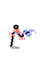 CCCCCCCCCCCCCCCCCOC(=O)[C@H](C)NP(=O)(OC[C@@]1(C)O[C@@H](n2cnc3c(N)nc(F)nc32)C[C@@H]1O)Oc1ccccc1